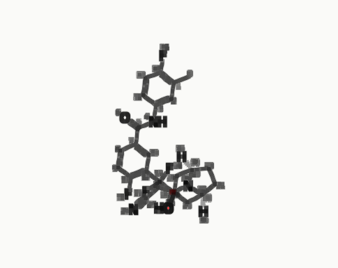 Cc1cc(NC(=O)c2ccc(F)c(C(F)(F)C(=O)N3[C@@H]4CC[C@H]3CC(O)(CC#N)C4)c2)ccc1F